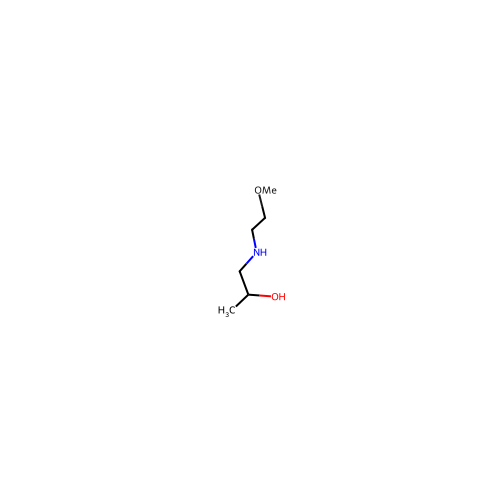 COCCNCC(C)O